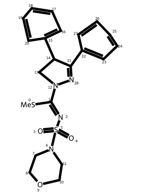 CS/C(=N\S(=O)(=O)N1CCOCC1)N1CC(c2ccccc2)C(c2ccccc2)=N1